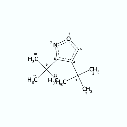 CC(C)(C)c1conc1C(C)(C)C